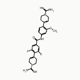 COc1cc(NC(=O)c2cc(F)c(C3=CCN(C(=N)N)CC3)c(F)c2)ccc1C1=CCN(C(=N)N)CC1